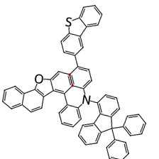 c1ccc(C2(c3ccccc3)c3ccccc3-c3c(N(c4ccc(-c5ccc6sc7ccccc7c6c5)cc4)c4ccccc4-c4cccc5oc6c7ccccc7ccc6c45)cccc32)cc1